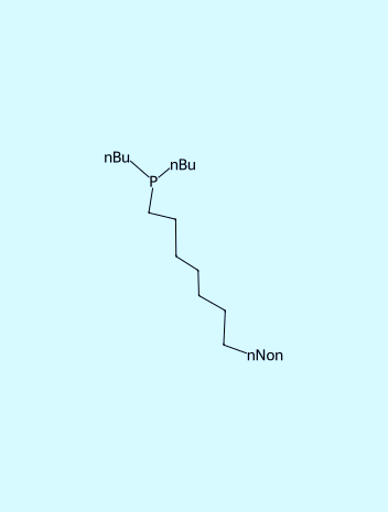 CCCCCCCCCCCCCCCCP(CCCC)CCCC